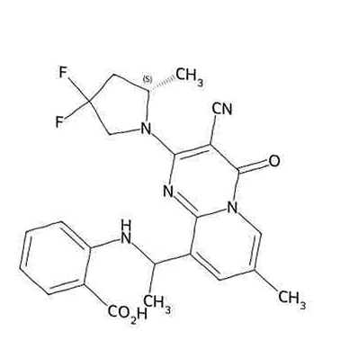 Cc1cc(C(C)Nc2ccccc2C(=O)O)c2nc(N3CC(F)(F)C[C@@H]3C)c(C#N)c(=O)n2c1